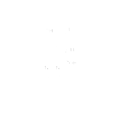 Cc1ccnc2c1ccn2[C@@H]1C[C@H](Oc2ccc(F)cc2CO)[C@@H](O)[C@H]1O